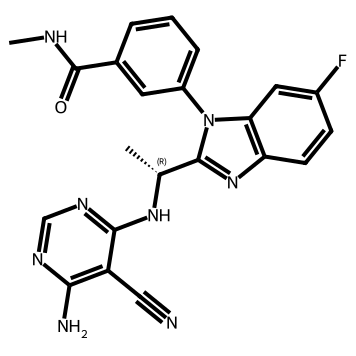 CNC(=O)c1cccc(-n2c([C@@H](C)Nc3ncnc(N)c3C#N)nc3ccc(F)cc32)c1